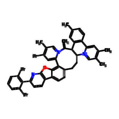 C=C1C2c3cc(C)ccc3-c3cc(C)c(C)c[n+]3C2CCc2ccc3c(oc4nc(-c5c(C(C)C)cccc5C(C)C)ccc43)c2-c2cc(C(C)C)c(C)c[n+]21